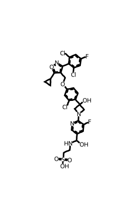 O=S(=O)(O)CCNC(O)c1cnc(N2CC(O)(c3ccc(OCc4c(-c5c(Cl)cc(F)cc5Cl)noc4C4CC4)cc3Cl)C2)c(F)c1